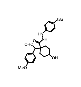 COc1ccc(C(C=O)C2(C(=O)NNc3ccc(C(C)(C)C)cc3)CCC(O)CC2)cc1